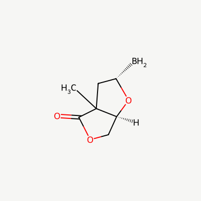 B[C@H]1CC2(C)C(=O)OC[C@@H]2O1